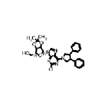 CC1(C)OC2C(O1)[C@@H](CO)O[C@H]2n1cnc2c(N3CC(c4ccccc4)C(c4ccccc4)C3)nc(Cl)nc21